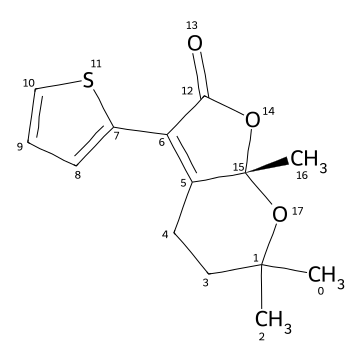 CC1(C)CCC2=C(c3cccs3)C(=O)O[C@]2(C)O1